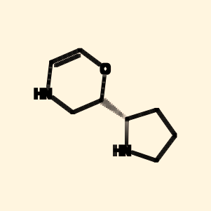 C1=COC([C@@H]2CCCN2)CN1